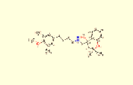 COc1c(C)cc(CCCCNCC2(O)CC(C)(C)Oc3ccccc32)cc1C